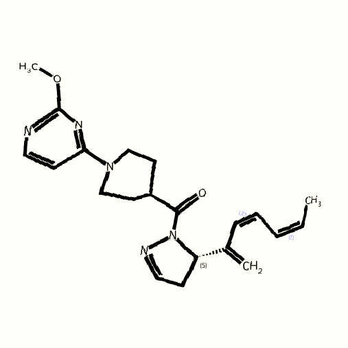 C=C(/C=C\C=C/C)[C@@H]1CC=NN1C(=O)C1CCN(c2ccnc(OC)n2)CC1